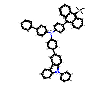 C[Si](C)(C)c1c2ccccc2c(-c2ccc(N(c3ccc(-c4ccccc4)cc3)c3ccc(-c4ccc5c(c4)c4ccccc4n5-c4ccccc4)cc3)cc2)c2ccccc12